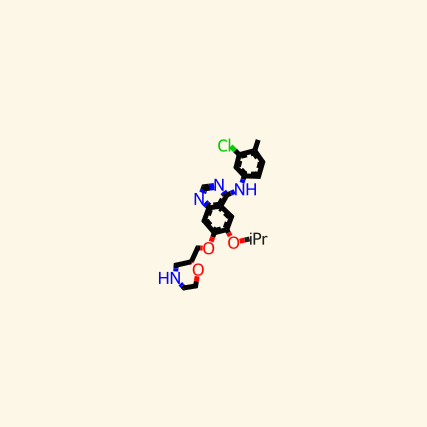 Cc1ccc(Nc2ncnc3cc(OCC4CNCCO4)c(OC(C)C)cc23)cc1Cl